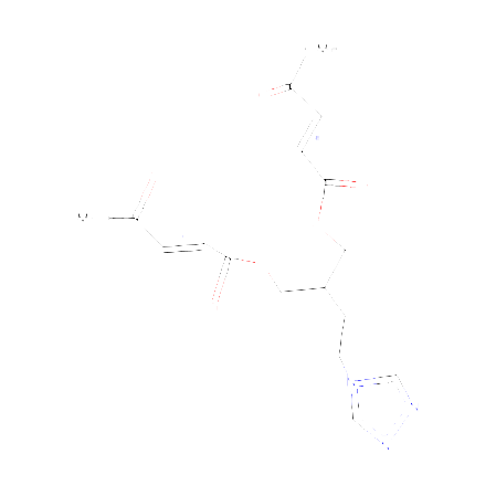 COC(=O)/C=C/C(=O)OCC(CCn1cnnc1)COC(=O)/C=C/C(=O)OC